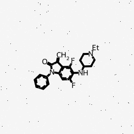 C=C1C(=O)N(c2ccccc2)c2cc(F)c(NC3CCN(CC)CC3)c(F)c21